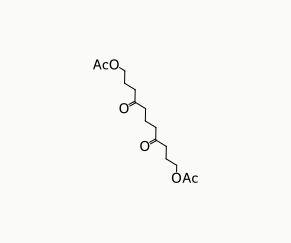 CC(=O)OCCCC(=O)CCCC(=O)CCCOC(C)=O